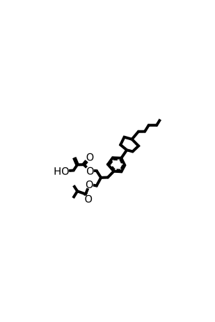 C=C(CO)C(=O)OCC(COC(=O)C(C)C)Cc1ccc(C2CCC(CCCCC)CC2)cc1